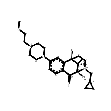 COCCN1CCN(c2ccc3c(c2)[C@]2(C)CCN(CC4CC4)[C@H](C3=O)[C@@H]2C)CC1